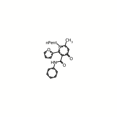 CCCCCn1c(C)cc(=O)c(C(=O)Nc2ccccc2)c1-c1ccco1